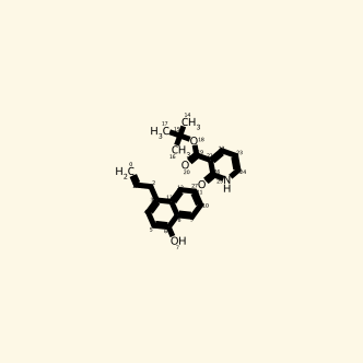 C=CCc1ccc(O)c2ccccc12.CC(C)(C)OC(=O)c1ccc[nH]c1=O